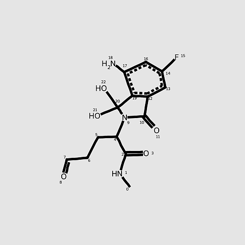 CNC(=O)C(CCC=O)N1C(=O)c2cc(F)cc(N)c2C1(O)O